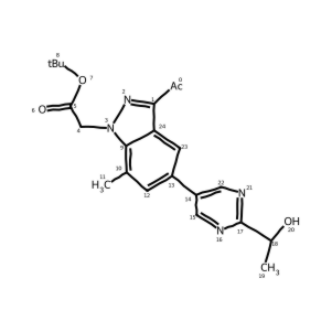 CC(=O)c1nn(CC(=O)OC(C)(C)C)c2c(C)cc(-c3cnc(C(C)O)nc3)cc12